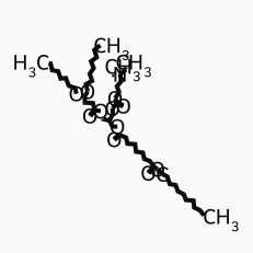 CCCCCCCCCCCCOC(=O)CCCCCCCC(=O)OCC(COC(=O)CCC(OCCCCCCCC)OCCCCCCCC)COC(=O)OCCCN(CC)CC